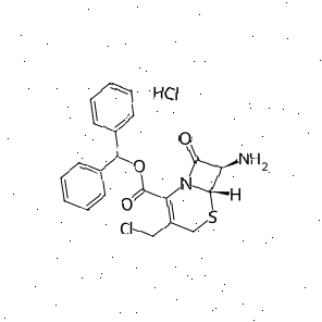 Cl.N[C@@H]1C(=O)N2C(C(=O)OC(c3ccccc3)c3ccccc3)=C(CCl)CS[C@@H]12